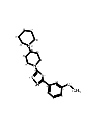 COc1cccc(-c2nnc(N3CCC(N4CCCCC4)CC3)s2)c1